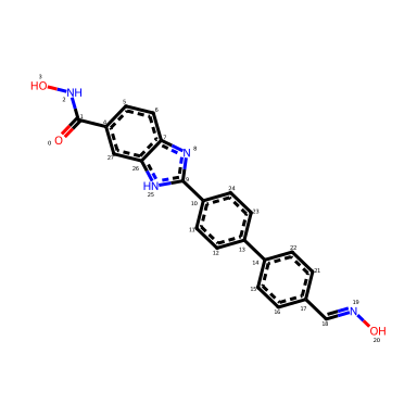 O=C(NO)c1ccc2nc(-c3ccc(-c4ccc(/C=N/O)cc4)cc3)[nH]c2c1